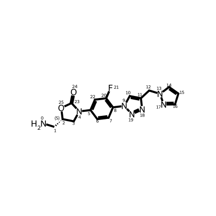 NC[C@H]1CN(c2ccc(-n3cc(Cn4cccn4)nn3)c(F)c2)C(=O)O1